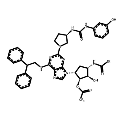 CCC(=O)N[C@H]1C[C@@H](n2cnc3c(NCC(c4ccccc4)c4ccccc4)nc(N4CC[C@@H](NC(=O)Nc5cccc(O)c5)C4)nc32)[C@H](OC(=O)C(F)(F)F)[C@@H]1O